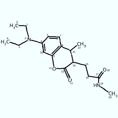 CCN(CC)c1ccc2c(c1)OC(=O)C(CCC(=O)NC)C2C